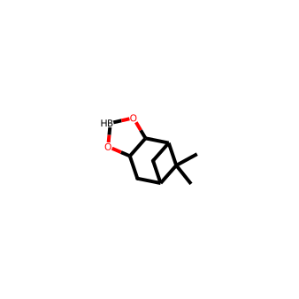 CC1(C)C2CC3OBOC3C1C2